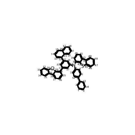 c1ccc(-c2ccc(N(c3cc(-c4cccc5ccccc45)cc(-c4cccc5c4oc4ccccc45)c3)c3cccc4c3sc3ccccc34)cc2)cc1